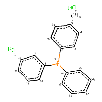 C.Cl.Cl.c1ccc(P(c2ccccc2)c2ccccc2)cc1